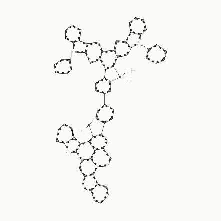 CC1(C)c2cc(-c3ccc4c(c3)C(C)(C)c3c-4cc4ccc5c6c(cc7c8oc9ccccc9c8c3c4c75)sc3ccccc36)ccc2-c2c1c1cc3c(cc1c1cc4c5ccccc5n(-c5ccccc5)c4cc21)c1ccccc1n3-c1ccccc1